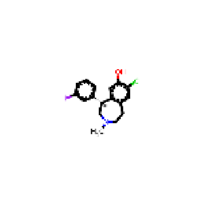 CN1CCc2cc(Cl)c(O)cc2[C@@H](c2cccc(I)c2)C1